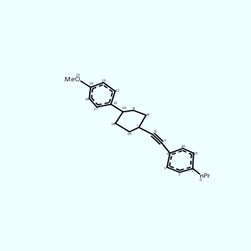 CCCc1ccc(C#CC2CCC(c3ccc(OC)cc3)CC2)cc1